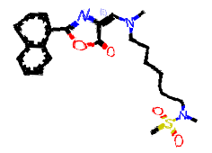 CN(/C=C1/N=C(c2cccc3ccccc23)OC1=O)CCCCCCN(C)S(C)(=O)=O